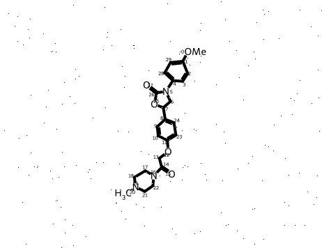 COc1ccc(N2CC(c3ccc(OCC(=O)N4CCN(C)CC4)cc3)OC2=O)cc1